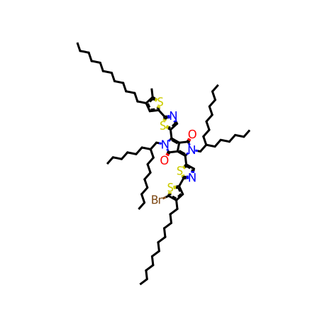 CCCCCCCCCCCCc1cc(-c2ncc(C3=C4C(=O)N(CC(CCCCCC)CCCCCCCC)C(c5cnc(-c6cc(CCCCCCCCCCCC)c(Br)s6)s5)=C4C(=O)N3CC(CCCCCC)CCCCCCCC)s2)sc1C